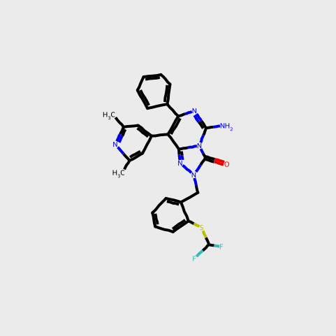 Cc1cc(-c2c(-c3ccccc3)nc(N)n3c(=O)n(Cc4ccccc4SC(F)F)nc23)cc(C)n1